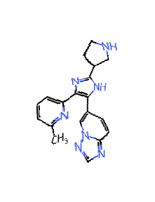 Cc1cccc(-c2nc(C3CCNC3)[nH]c2-c2ccc3ncnn3c2)n1